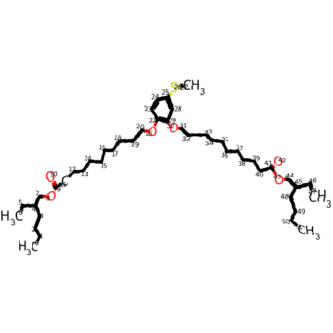 CCCCC(CC)COC(=O)CCCCCCCCCCOc1ccc(SC)cc1OCCCCCCCCCCC(=O)OCC(CC)CCCC